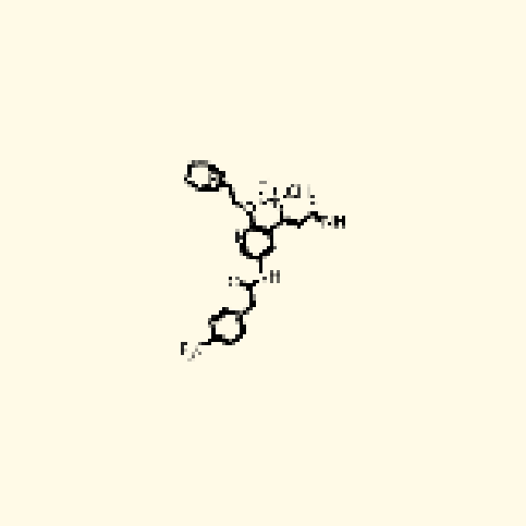 CN(C)/C(=C\C=N)c1cc(NC(=O)Cc2ccc(C(F)(F)F)cc2)cnc1OCCN1C2CCC1CC2